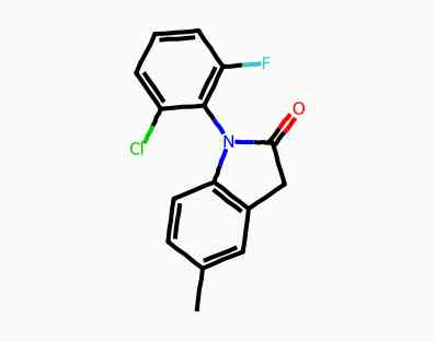 Cc1ccc2c(c1)CC(=O)N2c1c(F)cccc1Cl